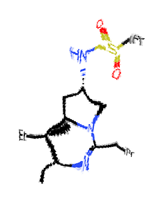 CCC1=C2C[C@H](NS(=O)(=O)C(C)C)CN2C(C(C)C)=N[C@H]1C